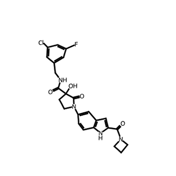 O=C(c1cc2cc(N3CCC(O)(C(=O)NCc4cc(F)cc(Cl)c4)C3=O)ccc2[nH]1)N1CCC1